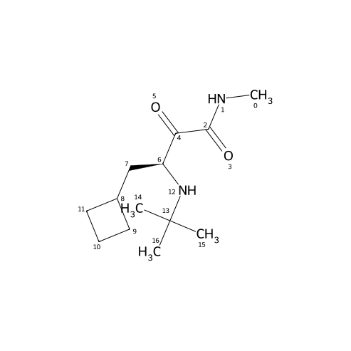 CNC(=O)C(=O)[C@H](CC1CCC1)NC(C)(C)C